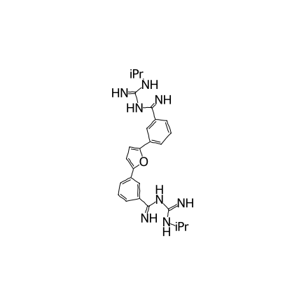 CC(C)NC(=N)NC(=N)c1cccc(-c2ccc(-c3cccc(C(=N)NC(=N)NC(C)C)c3)o2)c1